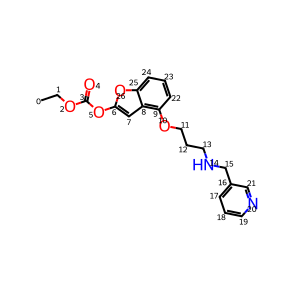 CCOC(=O)Oc1cc2c(OCCCNCc3cccnc3)cccc2o1